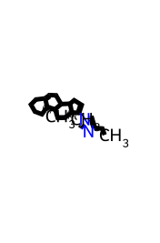 CCc1cn(C2=CCC3C4CC=C5CCCC[C@]5(C)C4CC[C@]23C)cn1